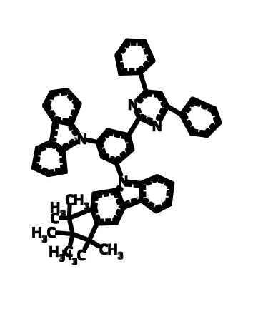 CC1(C)c2cc3c4ccccc4n(-c4cc(-c5nc(-c6ccccc6)cc(-c6ccccc6)n5)cc(-n5c6ccccc6c6ccccc65)c4)c3cc2C(C)(C)C1(C)C